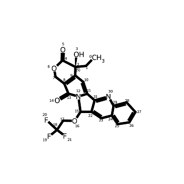 CC[C@@]1(O)C(=O)OCc2c1cc1n(c2=O)C(OCC(F)(F)F)c2cc3ccccc3nc2-1